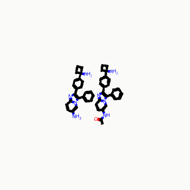 CC(=O)Nc1ccc2nc(-c3ccc(C4(N)CCC4)cc3)c(-c3ccccc3)n2c1.Nc1ccc2nc(-c3ccc(C4(N)CCC4)cc3)c(-c3ccccc3)n2c1